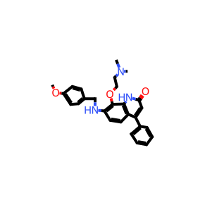 COc1ccc(CNc2ccc3c(-c4ccccc4)cc(=O)[nH]c3c2OCCN(C)C)cc1